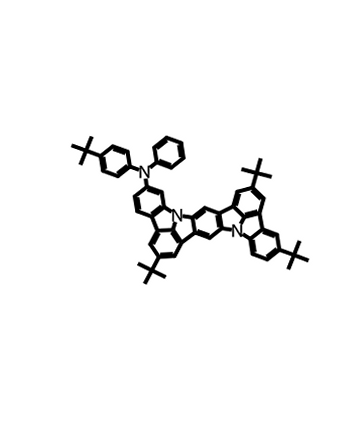 CC(C)(C)c1ccc(N(c2ccccc2)c2ccc3c4cc(C(C)(C)C)cc5c6cc7c(cc6n(c3c2)c45)c2cc(C(C)(C)C)cc3c4cc(C(C)(C)C)ccc4n7c32)cc1